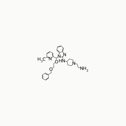 Cc1cccc(C(OCCOCc2ccccc2)n2c(NC3CCN(CCN)CC3)nc3ccccc32)n1